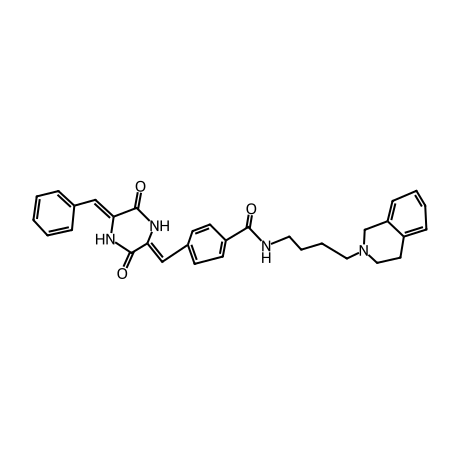 O=C(NCCCCN1CCc2ccccc2C1)c1ccc(C=c2[nH]c(=O)c(=Cc3ccccc3)[nH]c2=O)cc1